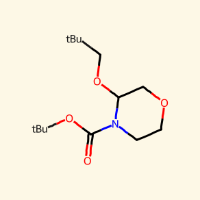 CC(C)(C)COC1COCCN1C(=O)OC(C)(C)C